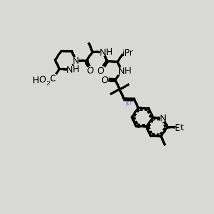 CCc1nc2cc(/C=C/C(C)(C)C(=O)NC(C(=O)NC(C)C(=O)N3CCCC(C(=O)O)N3)C(C)C)ccc2cc1C